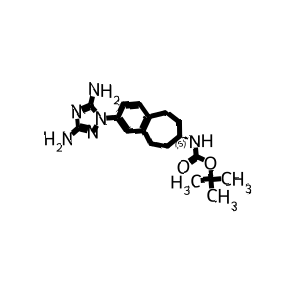 CC(C)(C)OC(=O)N[C@H]1CCc2ccc(-n3nc(N)nc3N)cc2CC1